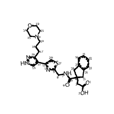 O=C(O)CC1(C(=O)NCc2nc(-c3c[nH]nc3CCCN3CCOCC3)cs2)Cc2ccccc2C1